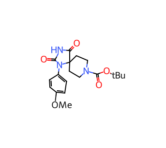 COc1ccc(N2C(=O)NC(=O)C23CCN(C(=O)OC(C)(C)C)CC3)cc1